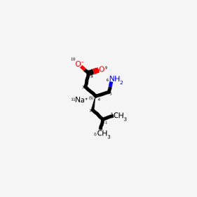 CC(C)C[C@H](CN)CC(=O)[O-].[Na+]